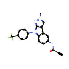 C#CC(=O)Nc1ccc2c(c1)c1cn(C)nc1n2-c1ccc(C(F)(F)F)cc1